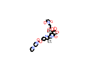 CCc1c2c(nc3ccc(OC(=O)N4CCC(N5CCCCC5)CC4)cc13)-c1cc3c(c(=O)n1C2)COC(=O)C3(CC)OC(=O)CCN1C(=O)C=CC1=O